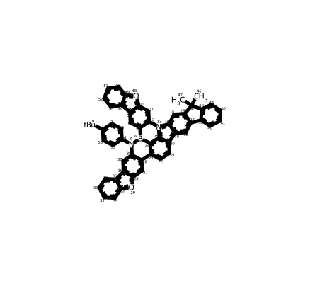 CC(C)(C)c1ccc(N2B3c4cc5c(cc4-n4c6cc7c(cc6c6ccc(c3c64)-c3cc4oc6ccccc6c4cc32)-c2ccccc2C7(C)C)oc2ccccc25)cc1